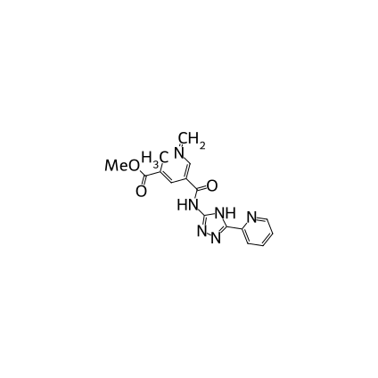 C=N/C=C(\C=C(/C)C(=O)OC)C(=O)Nc1nnc(-c2ccccn2)[nH]1